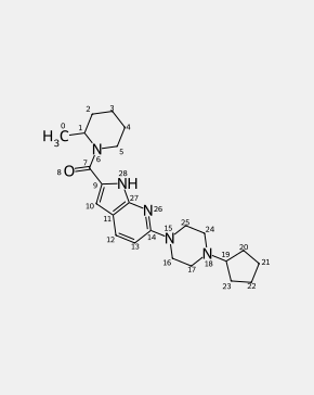 CC1CCCCN1C(=O)c1cc2ccc(N3CCN(C4CCCC4)CC3)nc2[nH]1